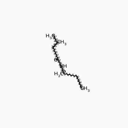 C=C(CCCCCCC/C=C\CCCCCCCC)OCCCNCCCCC(=O)CCCCCCC/C=C\CCCC(C)CCCCC